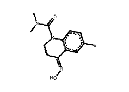 CN(C)C(=O)N1CCC(=NO)c2cc(Br)ccc21